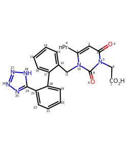 CCCc1cc(=O)n(CC(=O)O)c(=O)n1Cc1ccccc1-c1ccccc1-c1nnn[nH]1